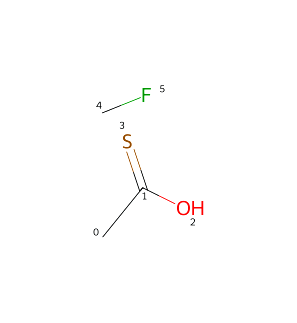 CC(O)=S.CF